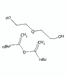 C=C(CCCC)OC(=C)CCCC.OCCOCCO